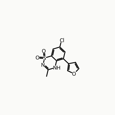 CC1=NS(=O)(=O)c2cc(Cl)cc(-c3ccoc3)c2N1